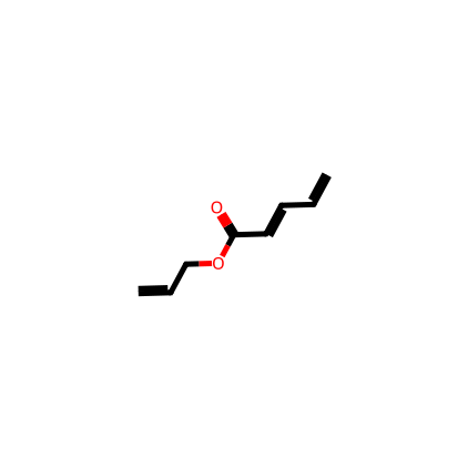 C=CC=CC(=O)OCC=C